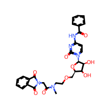 CN(CCOC[C@H]1O[C@@H](n2ccc(NC(=O)c3ccccc3)nc2=O)[C@@H](O)C1O)C(=O)CN1C(=O)c2ccccc2C1=O